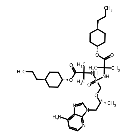 CCC[C@H]1CC[C@H](OC(=O)C(C)(C)NP(=O)(CO[C@H](C)Cn2cnc3c(N)ccnc32)NC(C)(C)C(=O)O[C@H]2CC[C@H](CCC)CC2)CC1